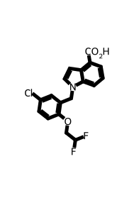 O=C(O)c1cccc2c1ccn2Cc1cc(Cl)ccc1OCC(F)F